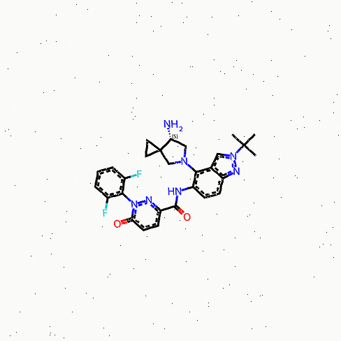 CC(C)(C)n1cc2c(N3C[C@@H](N)C4(CC4)C3)c(NC(=O)c3ccc(=O)n(-c4c(F)cccc4F)n3)ccc2n1